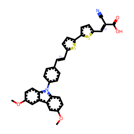 COc1ccc2c(c1)c1cc(OC)ccc1n2-c1ccc(/C=C/c2ccc(-c3ccc(/C=C(\C#N)C(=O)O)s3)s2)cc1